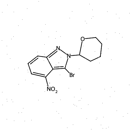 O=[N+]([O-])c1cccc2nn(C3CCCCO3)c(Br)c12